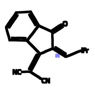 CC(C)/C=C1\C(=O)c2ccccc2C1=C(C#N)C#N